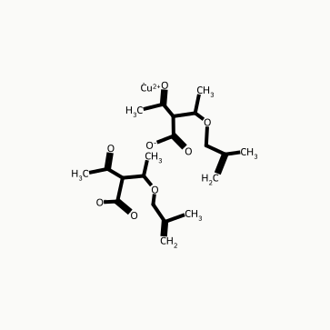 C=C(C)COC(C)C(C(C)=O)C(=O)[O-].C=C(C)COC(C)C(C(C)=O)C(=O)[O-].[Cu+2]